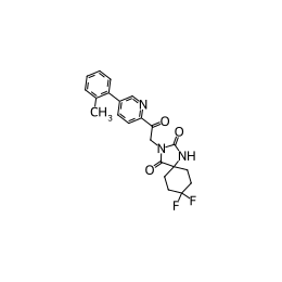 Cc1ccccc1-c1ccc(C(=O)CN2C(=O)NC3(CCC(F)(F)CC3)C2=O)nc1